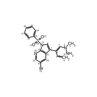 C=C/C(=C\N(C)N)c1cn(S(=O)(=O)c2ccccc2)c2ncc(Br)cc12